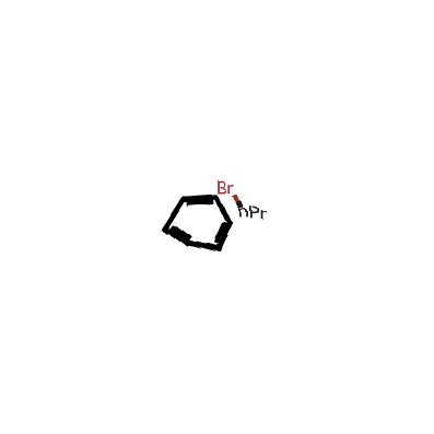 CCCBr.c1ccccc1